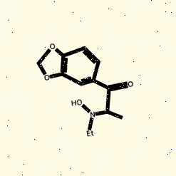 CCN(O)C(C)C(=O)c1ccc2c(c1)OCO2